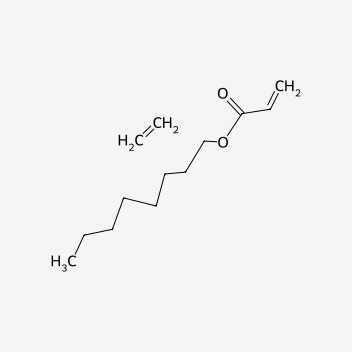 C=C.C=CC(=O)OCCCCCCCC